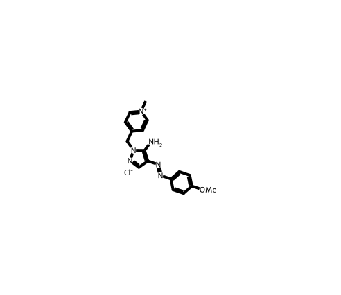 COc1ccc(/N=N/c2cnn(Cc3cc[n+](C)cc3)c2N)cc1.[Cl-]